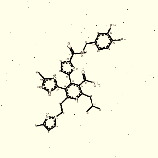 Cc1ccn(CCc2nc(CC(C)C)c(C(N)=O)c(-c3ccc(C(=O)NCc4ccc(F)c(F)c4)s3)c2-c2nnc(C)o2)n1